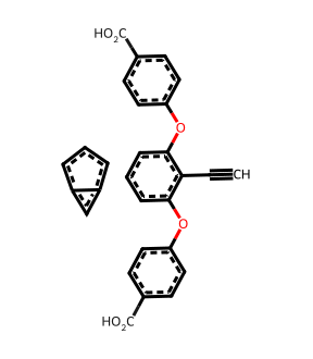 C#Cc1c(Oc2ccc(C(=O)O)cc2)cccc1Oc1ccc(C(=O)O)cc1.c1cc2cc-2c1